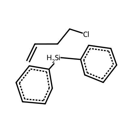 C=CCCCl.c1ccc([SiH2]c2ccccc2)cc1